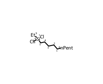 CCCCCCCCCC[Si](Cl)(Cl)CC